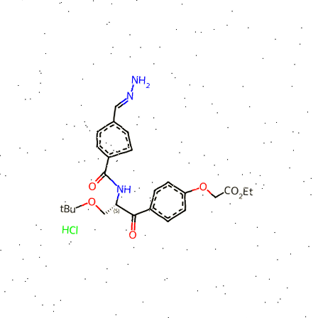 CCOC(=O)COc1ccc(C(=O)[C@H](COC(C)(C)C)NC(=O)c2ccc(C=NN)cc2)cc1.Cl